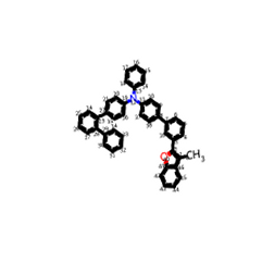 Cc1c(-c2cccc(-c3ccc(N(c4ccccc4)c4ccc(-c5ccccc5-c5ccccc5)cc4)cc3)c2)oc2ccccc12